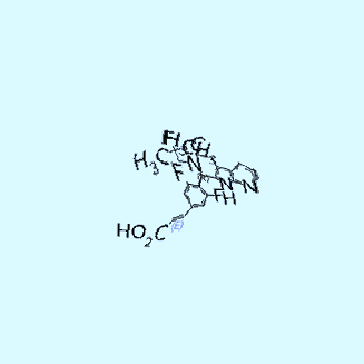 CC1Cc2c([nH]c3ncccc23)[C@@H](c2c(F)cc(/C=C/C(=O)O)cc2F)N1CC(C)(C)F